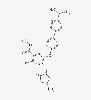 COC(=O)c1cc(Oc2ccc(-c3ccc(C(C)C)nn3)cc2)c(CN2CC(C)CC2=O)cc1Br